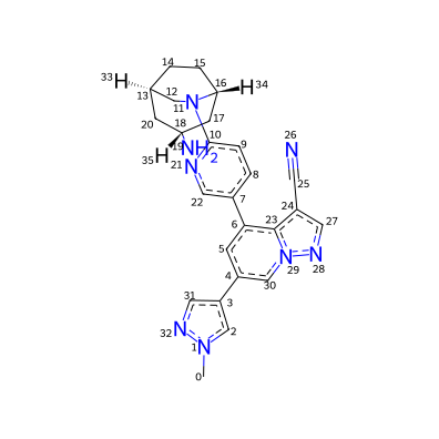 Cn1cc(-c2cc(-c3ccc(N4C[C@@H]5CC[C@@H]4C[C@H](N)C5)nc3)c3c(C#N)cnn3c2)cn1